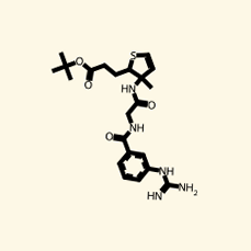 CC(C)(C)OC(=O)CCC1SC=CC1(C)NC(=O)CNC(=O)c1cccc(NC(=N)N)c1